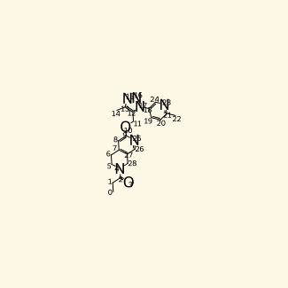 CCC(=O)N1CCc2cc(OCc3c(C)nnn3-c3ccc(C)nc3)ncc2C1